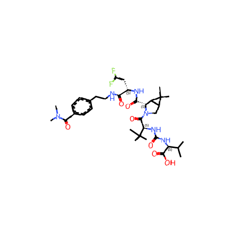 CC(C)[C@H](NC(=O)N[C@H](C(=O)N1CC2C([C@H]1C(=O)N[C@@H](CC(F)F)C(=O)NCCc1ccc(C(=O)N(C)C)cc1)C2(C)C)C(C)(C)C)C(=O)O